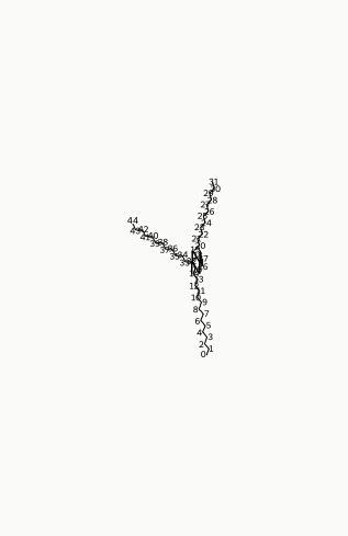 CCCCCCCCCCCCCCCN1C=CN(CCCCCCCCCCCCC)C1CCCCCCCCCCCC